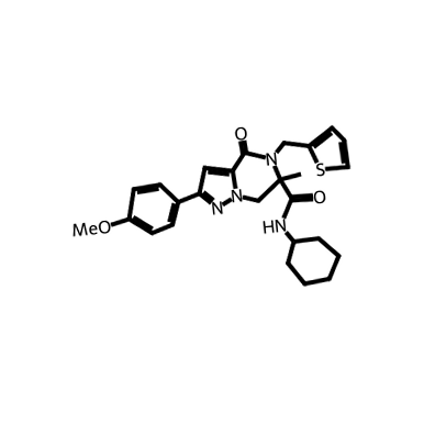 COc1ccc(-c2cc3n(n2)CC(C)(C(=O)NC2CCCCC2)N(Cc2cccs2)C3=O)cc1